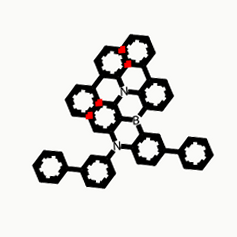 c1ccc(-c2cccc(N3c4ccc(-c5ccccc5)cc4B4c5cccc(-c6ccccc6)c5N(c5ccccc5-c5ccccc5)c5cccc3c54)c2)cc1